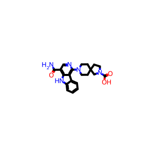 NC(=O)c1cnc(N2CCC3(CCN(C(=O)O)C3)CC2)c2c1[nH]c1ccccc12